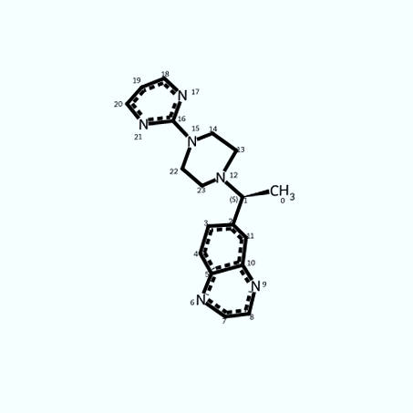 C[C@@H](c1ccc2nccnc2c1)N1CCN(c2ncccn2)CC1